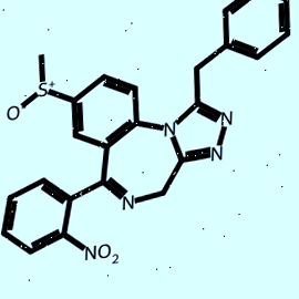 C[S+]([O-])c1ccc2c(c1)C(c1ccccc1[N+](=O)[O-])=NCc1nnc(Cc3ccccc3)n1-2